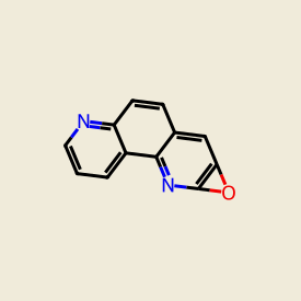 c1cnc2ccc3cc4c(nc3c2c1)O4